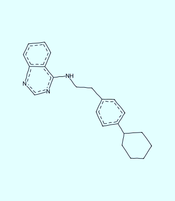 c1ccc2c(NCCc3ccc(C4CCCCC4)cc3)ncnc2c1